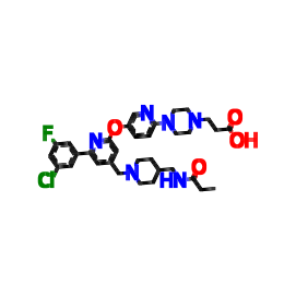 CCC(=O)NCC1CCN(Cc2cc(Oc3ccc(N4CCN(CCC(=O)O)CC4)nc3)nc(-c3cc(F)cc(Cl)c3)c2)CC1